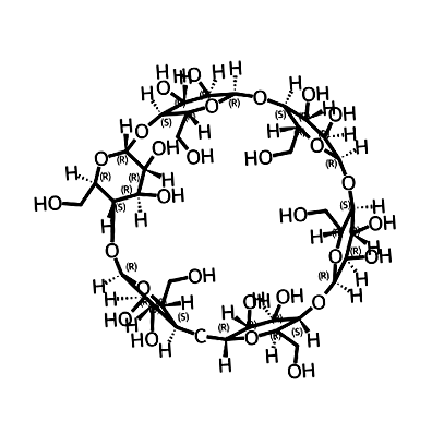 OC[C@H]1O[C@@H]2O[C@H]3[C@H](O)[C@@H](O)[C@@H](O[C@H]4[C@H](O)[C@@H](O)[C@@H](O[C@H]5[C@H](O)[C@@H](O)[C@@H](O[C@H]6[C@H](O)[C@@H](O)[C@@H](O[C@H]7[C@H](O)[C@@H](O)[C@@H](C[C@H]1[C@H](O)[C@H]2O)O[C@@H]7CO)O[C@@H]6CO)O[C@@H]5CO)O[C@@H]4CO)O[C@@H]3CO